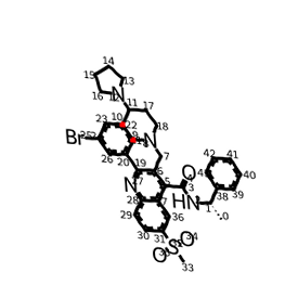 C[C@H](NC(=O)c1c(CN2CCC(N3CCCC3)CC2)c(-c2cccc(Br)c2)nc2ccc(S(C)(=O)=O)cc12)c1ccccc1